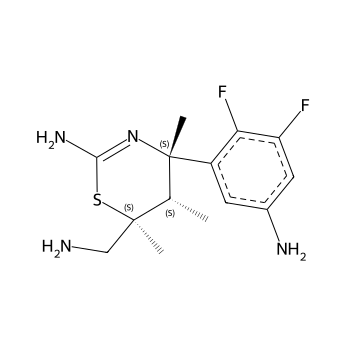 C[C@@H]1[C@@](C)(CN)SC(N)=N[C@]1(C)c1cc(N)cc(F)c1F